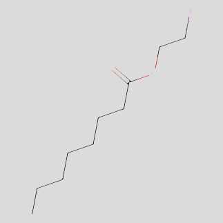 CCCCCCCC(=O)OCCI